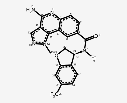 CCN(C(=O)c1ccc2nc(N)c3cnn(C)c3c2c1)[C@@H]1COc2cc(C(F)(F)F)ccc21